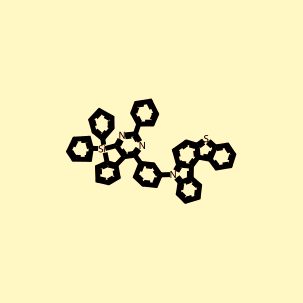 c1ccc(-c2nc(-c3cccc(-n4c5ccccc5c5c6c(ccc54)sc4ccccc46)c3)c3c(n2)[Si](c2ccccc2)(c2ccccc2)c2ccccc2-3)cc1